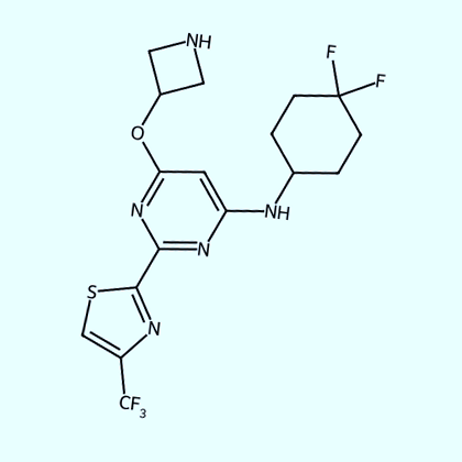 FC1(F)CCC(Nc2cc(OC3CNC3)nc(-c3nc(C(F)(F)F)cs3)n2)CC1